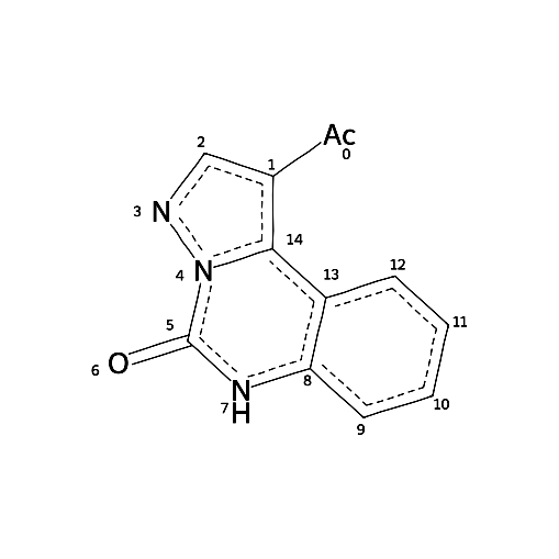 CC(=O)c1cnn2c(=O)[nH]c3ccccc3c12